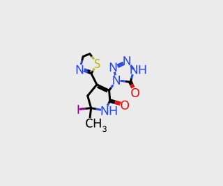 CC1(I)CC(C2=NCCS2)=C(n2nn[nH]c2=O)C(=O)N1